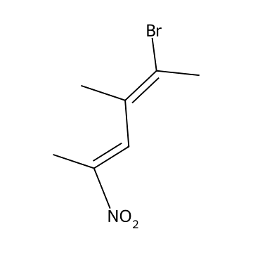 C/C(=C\C(C)=C(/C)Br)[N+](=O)[O-]